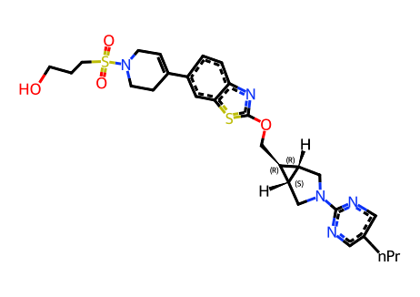 CCCc1cnc(N2C[C@@H]3[C@@H](COc4nc5ccc(C6=CCN(S(=O)(=O)CCCO)CC6)cc5s4)[C@@H]3C2)nc1